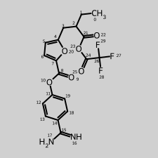 CCC(Cc1ccc(C(=O)Oc2ccc(C(=N)N)cc2)o1)C(=O)OC(=O)C(F)(F)F